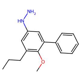 CCCc1cc(NN)cc(-c2ccccc2)c1OC